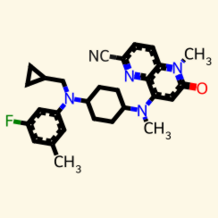 Cc1cc(F)cc(N(CC2CC2)C2CCC(N(C)c3cc(=O)n(C)c4ccc(C#N)nc34)CC2)c1